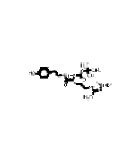 CC(C)(C)OC(=O)N[C@H](CCCN/C(N)=N\[N+](=O)[O-])C(=O)NCCc1ccc(O)cc1